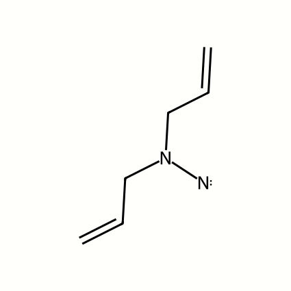 C=CCN([N])CC=C